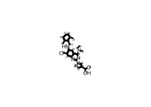 CCN(C)c1nc(-n2cc(C(=O)O)cn2)nc2cc(Cl)c(NCc3c(C)cccc3C)cc12